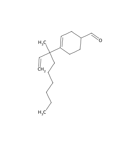 C=CC(C)(CCCCCC)C1=CCC(C=O)CC1